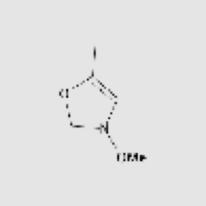 CON1C=C(C)OC1